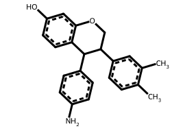 Cc1ccc(C2COc3cc(O)ccc3C2c2ccc(N)cc2)cc1C